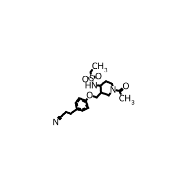 CCS(=O)(=O)NC1CCN(C(C)=O)CC1COc1ccc(CCC#N)cc1